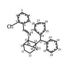 Clc1ccccc1C=NC1C2CCN(CC2)C1C(c1ccccc1)c1ccccc1